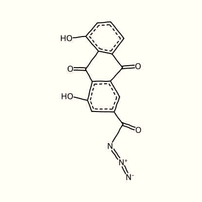 [N-]=[N+]=NC(=O)c1cc(O)c2c(c1)C(=O)c1cccc(O)c1C2=O